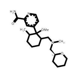 COC1(c2ccnc(C(N)=O)c2)C(C)CCCC1CN(C)C[C@@H]1CCCCO1